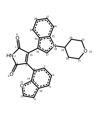 O=C1NC(=O)C(c2cccc3ccoc23)=C1c1cn(C2CCOCC2)c2ccccc12